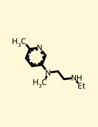 CCNCCN(C)c1ccc(C)nc1